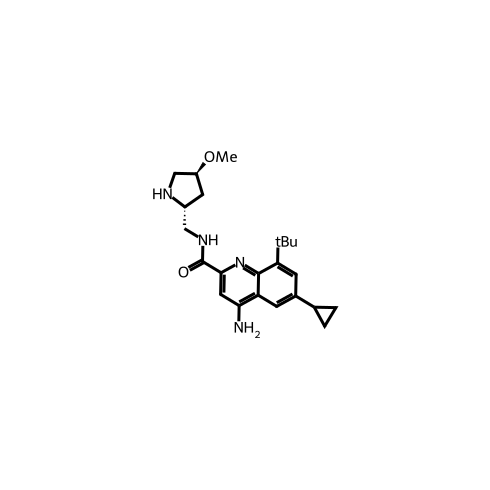 CO[C@@H]1CN[C@@H](CNC(=O)c2cc(N)c3cc(C4CC4)cc(C(C)(C)C)c3n2)C1